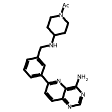 CC(=O)N1CCC(NCc2cccc(-c3ccc4ncnc(N)c4n3)c2)CC1